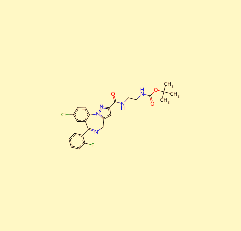 CC(C)(C)OC(=O)NCCNC(=O)c1cc2n(n1)-c1ccc(Cl)cc1C(c1ccccc1F)=NC2